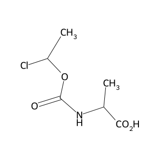 CC(Cl)OC(=O)NC(C)C(=O)O